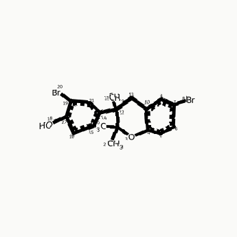 CC1(C)Oc2ccc(Br)cc2CC1(C)c1ccc(O)c(Br)c1